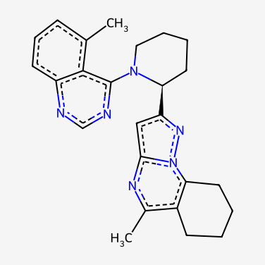 Cc1nc2cc([C@@H]3CCCCN3c3ncnc4cccc(C)c34)nn2c2c1CCCC2